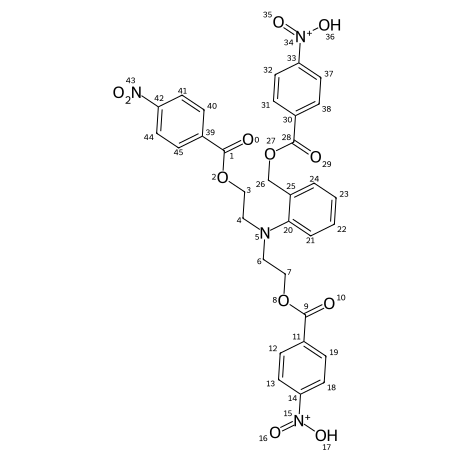 O=C(OCCN(CCOC(=O)c1ccc([N+](=O)O)cc1)c1ccccc1COC(=O)c1ccc([N+](=O)O)cc1)c1ccc([N+](=O)[O-])cc1